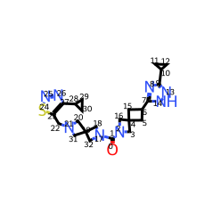 O=C(N1CC2(CC(c3nc(C4CC4)n[nH]3)C2)C1)N1CC2(CN(Cc3snnc3C3CC3)C2)C1